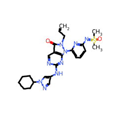 C=CCn1c(=O)c2cnc(Nc3cnn(C4CCCCC4)c3)nc2n1-c1cccc(N=S(C)(C)=O)n1